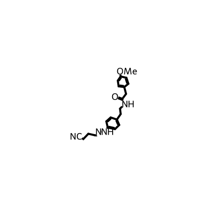 COc1ccc(CC(=O)NCCc2ccc(NN=CCCC#N)cc2)cc1